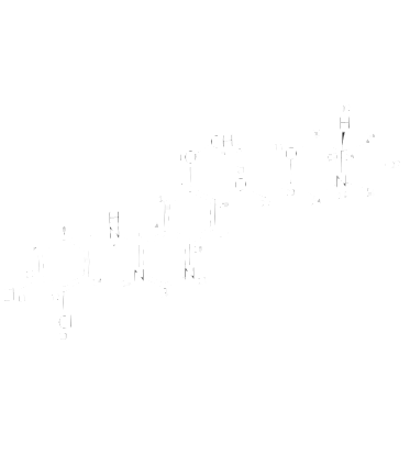 COc1cc2c(Nc3ccc(Cl)c(Cl)c3)ncnc2cc1OCC1CN2CCC[C@H]2CO1